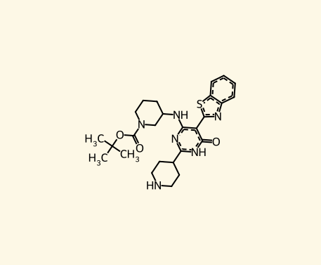 CC(C)(C)OC(=O)N1CCCC(Nc2nc(C3CCNCC3)[nH]c(=O)c2-c2nc3ccccc3s2)C1